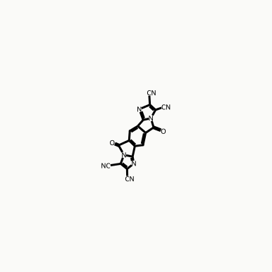 N#Cc1nc2c3cc4c(=O)n5c(C#N)c(C#N)nc5c4cc3c(=O)n2c1C#N